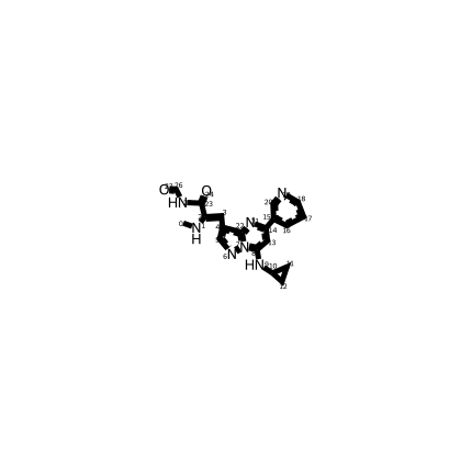 CN/C(=C\c1cnn2c(NC3CC3)cc(-c3cccnc3)nc12)C(=O)NC=O